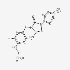 Cc1cc(CN2C(=O)N(c3ccc(C(F)(F)F)cc3)CC2O)ccc1OCC(=O)O